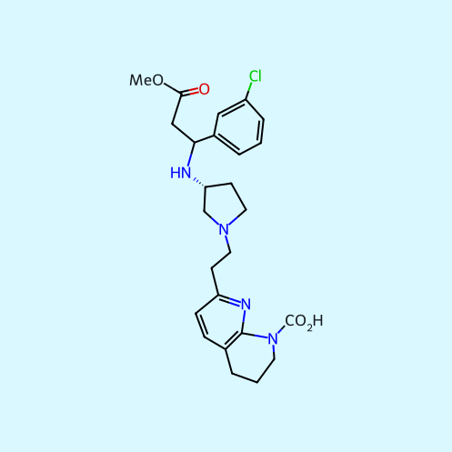 COC(=O)CC(N[C@@H]1CCN(CCc2ccc3c(n2)N(C(=O)O)CCC3)C1)c1cccc(Cl)c1